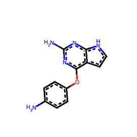 Nc1ccc(Oc2nc(N)nc3[nH]ccc23)cc1